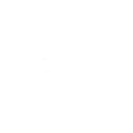 CCCOc1ccc(OC(C)=O)cc1